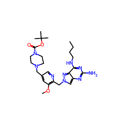 CCCCNc1nc(N)nc2cn(Cc3ncc(CN4CCN(C(=O)OC(C)(C)C)CC4)cc3OC)nc12